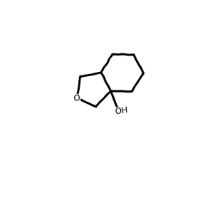 OC12CCCCC1COC2